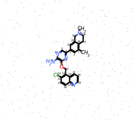 Cc1cc(-c2cnc(N)c(OCc3c(Cl)ccc4ncccc34)n2)cc2c1CCN(C)C2